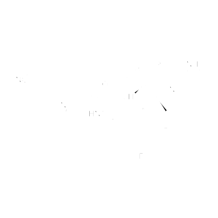 C[C@]1(c2cc(NC(=O)c3ccc(C#N)cn3)cc(F)c2F)N=C(N)SC2C[C@H]21